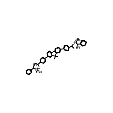 CC(ON(C(c1ccccc1)C(C)C)C(C)(C)C)c1ccc(-c2ccc3c(c2)C(C)(C)c2cc(-c4ccc(C(C)ON(C(c5ccccc5)C(C)C)C(C)(C)C)cc4)ccc2-3)cc1